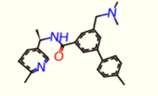 Cc1ccc(-c2cc(CN(C)C)cc(C(=O)N[C@H](C)c3ccc(C)nc3)c2)cc1